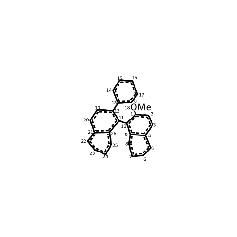 COc1ccc2ccccc2c1-c1c(-c2ccccc2)ccc2ccccc12